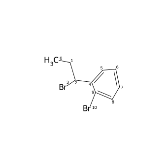 CCC(Br)c1ccccc1Br